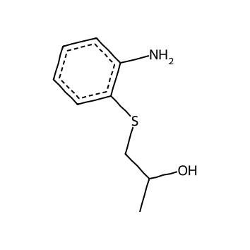 CC(O)CSc1ccccc1N